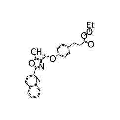 CCOOC(=O)CCc1ccc(OCc2nc(-c3ccc4ccccc4n3)oc2C)cc1